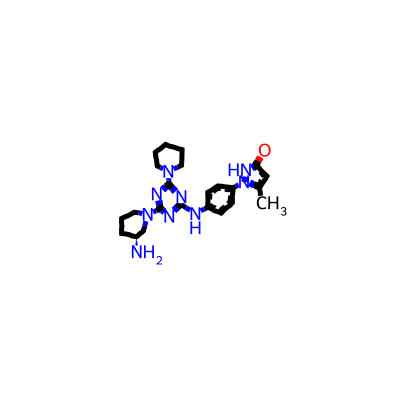 Cc1cc(=O)[nH]n1-c1ccc(Nc2nc(N3CCCCC3)nc(N3CCC[C@@H](N)C3)n2)cc1